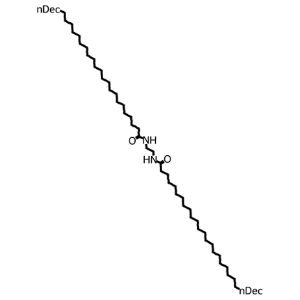 CCCCCCCCCCCCCCCCCCCCCCCCCCCCCCCC(=O)NCCNC(=O)CCCCCCCCCCCCCCCCCCCCCCCCCCCCCCC